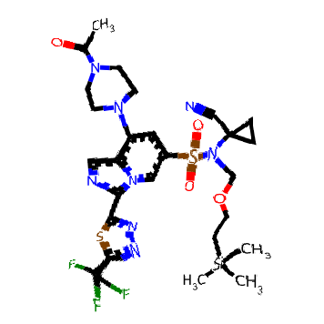 CC(=O)N1CCN(c2cc(S(=O)(=O)N(COCC[Si](C)(C)C)C3(C#N)CC3)cn3c(-c4nnc(C(F)(F)F)s4)ncc23)CC1